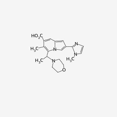 Cc1c(C(=O)O)cc2cc(-c3nccn3C)cn2c1C(C)N1CCOCC1